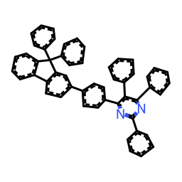 c1ccc(-c2nc(-c3ccccc3)c(-c3ccccc3)c(-c3ccc(-c4ccc5c(c4)C(c4ccccc4)(c4ccccc4)c4ccccc4-5)cc3)n2)cc1